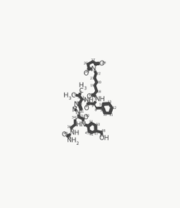 CC(C)[C@H](NC(=O)[C@H](Cc1ccccc1)NC(=O)CCCCCN1C(=O)CCC1=O)c1cn([C@@H](CCCNC(N)=O)C(=O)Nc2ccc(CO)cc2)nn1